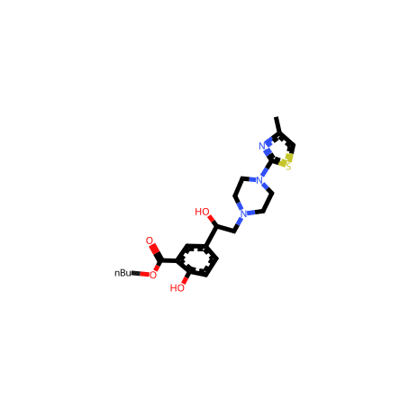 CCCCOC(=O)c1cc(C(O)CN2CCN(c3nc(C)cs3)CC2)ccc1O